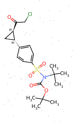 CC(C)(C)OC(=O)N(C(C)(C)C)S(=O)(=O)c1ccc([C@@H]2C[C@H]2C(=O)CCl)cc1